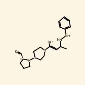 CC(/C=C(\O)N1CCN(N2CCC[C@H]2C=O)CC1)NNc1ccccc1